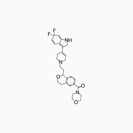 O=C(c1ccc2c(c1)CCOC2CCN1CC=C(C2=C3C=CC(F)(F)C=C3NC2)CC1)N1CCOCC1